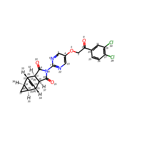 O=C(COc1cnc(N2C(=O)[C@@H]3[C@@H]4C=C[C@@H]([C@H]5C[C@@H]45)[C@@H]3C2=O)nc1)c1ccc(Cl)c(Cl)c1